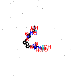 C/C=C/C(F)(C(=O)O)C(CNCc1ccc(OCc2cccc(-c3cccc(COc4ccc(CNCC(O)C(F)(F)C(=O)O)c(OC)n4)c3C)c2C)nc1OC)OC